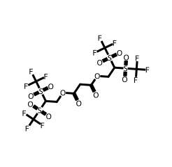 O=C(CC(=O)OCC(S(=O)(=O)C(F)(F)F)S(=O)(=O)C(F)(F)F)OCC(S(=O)(=O)C(F)(F)F)S(=O)(=O)C(F)(F)F